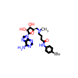 CN(CCCC(=O)Nc1ccc(C(C)(C)C)cc1)C[C@H]1O[C@@H](n2cnc3c(N)ncnc32)[C@H](O)[C@@H]1O